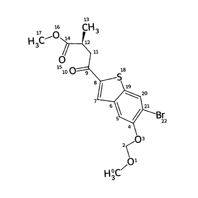 COCOc1cc2cc(C(=O)C[C@H](C)C(=O)OC)sc2cc1Br